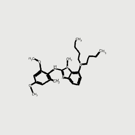 CCCCN(CCCC)c1cccc2nc(Nc3c(C)cc(OC)cc3OC)n(C)c12